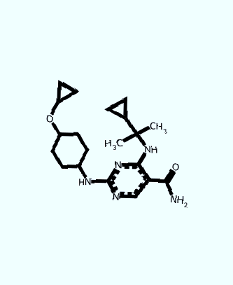 CC(C)(Nc1nc(NC2CCC(OC3CC3)CC2)ncc1C(N)=O)C1CC1